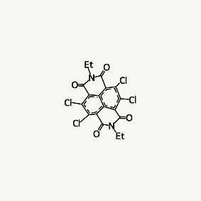 CCN1C(=O)c2c(Cl)c(Cl)c3c4c(c(Cl)c(Cl)c(c24)C1=O)C(=O)N(CC)C3=O